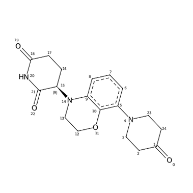 O=C1CCN(c2cccc3c2OCCN3[C@@H]2CCC(=O)NC2=O)CC1